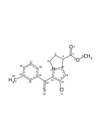 COC(=O)C1CCn2c1cc(Cl)c2C(=S)c1cccc(C)c1